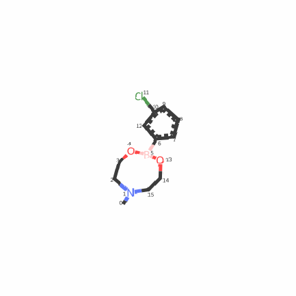 CN1CCOB(c2cccc(Cl)c2)OCC1